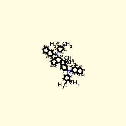 Cc1ccc(N(c2ccc3c(c2)C(C)(C)c2cc(N(c4ccc(C)c(C)c4)c4ccc5ccccc5c4)c4ccccc4c2-3)c2ccc3ccccc3c2)cc1C